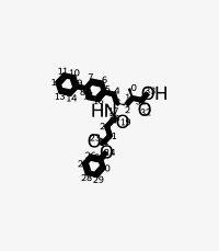 C[C@H](C[C@@H](Cc1ccc(-c2ccccc2)cc1)NC(=O)CCC(=O)Oc1ccccc1)C(=O)O